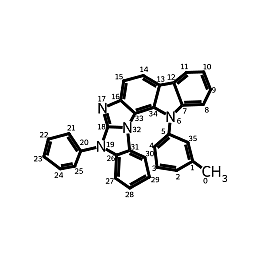 Cc1cccc(-n2c3ccccc3c3ccc4nc5n(-c6ccccc6)c6ccccc6n5c4c32)c1